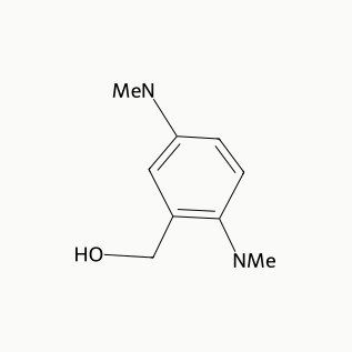 CNc1ccc(NC)c(CO)c1